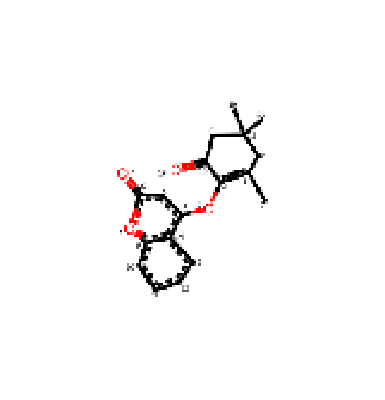 CC1=C(Oc2cc(=O)oc3ccccc23)C(=O)CC(C)(C)C1